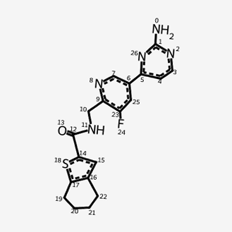 Nc1nccc(-c2cnc(CNC(=O)c3cc4c(s3)CCCC4)c(F)c2)n1